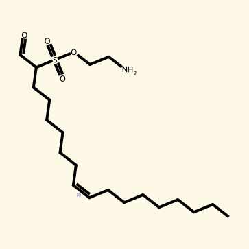 CCCCCCCC/C=C\CCCCCCC(C=O)S(=O)(=O)OCCN